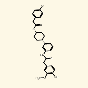 COc1cc(CC(=O)Nc2cccc([C@H]3CC[C@@H](OC(=O)Cc4ccc(Cl)cc4)CC3)c2)ccc1O